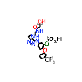 CC(C)(O)CC(=O)NCCn1ccc2ncnc(Nc3ccc(Oc4cccc(C(F)(F)F)c4)c(Cl)c3)c21.CS(=O)(=O)O